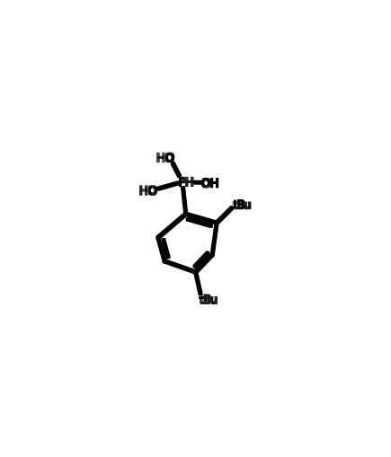 CC(C)(C)c1ccc([PH](O)(O)O)c(C(C)(C)C)c1